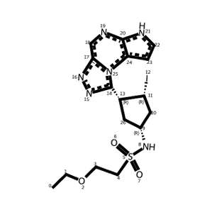 CCOCCS(=O)(=O)N[C@H]1C[C@@H](I)[C@@H](c2nnc3cnc4[nH]ccc4n23)C1